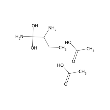 CC(=O)O.CC(=O)O.CCC(N)C(N)(O)O